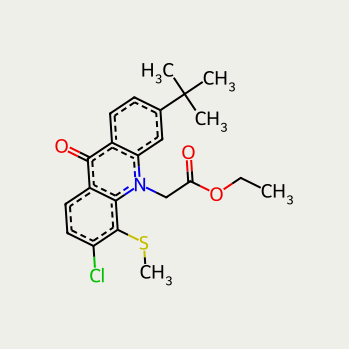 CCOC(=O)Cn1c2cc(C(C)(C)C)ccc2c(=O)c2ccc(Cl)c(SC)c21